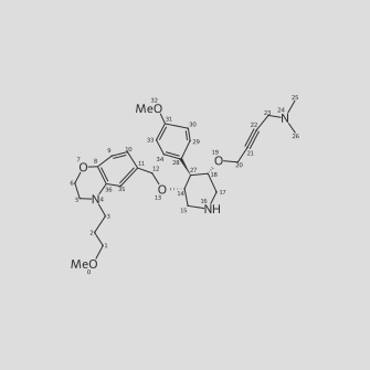 COCCCN1CCOc2ccc(CO[C@H]3CNC[C@@H](OCC#CCN(C)C)[C@@H]3c3ccc(OC)cc3)cc21